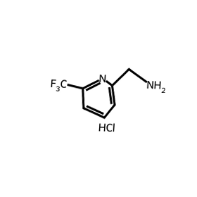 Cl.NCc1cccc(C(F)(F)F)n1